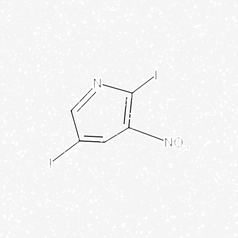 O=[N+]([O-])c1cc(I)cnc1I